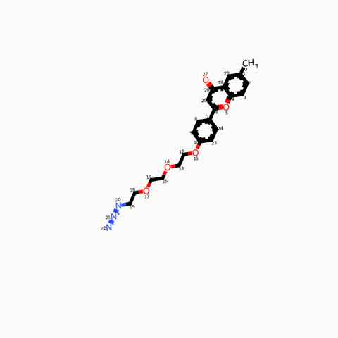 Cc1ccc2oc(-c3ccc(OCCOCCOCCN=[N+]=[N-])cc3)cc(=O)c2c1